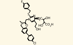 CN(Cc1ccc(-c2ccc(Cl)cc2)cc1)C(=O)Cn1cc(CCO)c(=O)nc1SCc1ccc(F)cc1.O=C(O)C(O)C(O)C(=O)O